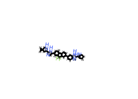 FC1(F)c2cc(-c3ccc4nc(C5NC6CCC5C6)[nH]c4c3)ccc2-c2ccc(-c3cnc(C4CC5(CC5)CN4)[nH]3)cc21